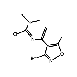 C=C(/N=C(/Cl)N(C)C)c1c(C(C)C)noc1C